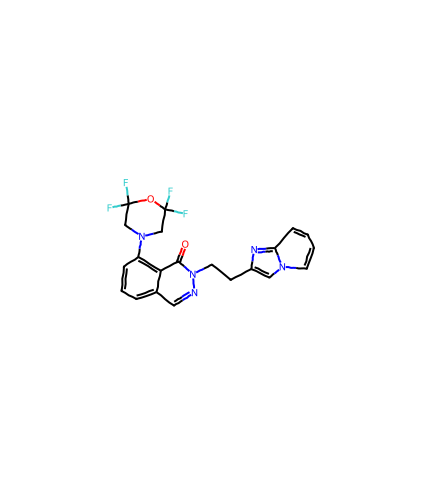 O=c1c2c(N3CC(F)(F)OC(F)(F)C3)cccc2cnn1CCc1cn2ccccc2n1